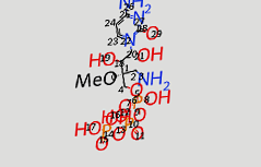 CO[C@](CN)(COP(=O)(O)OP(=O)(O)OP(=O)(O)O)[C@@H](O)[C@@H](O)n1ccc(N)nc1=O